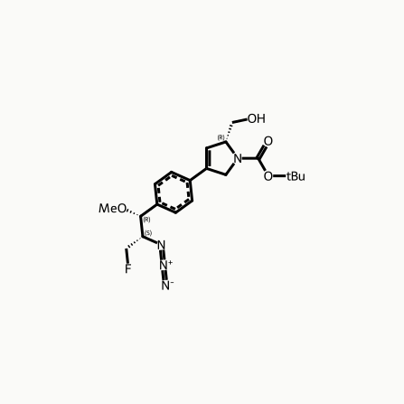 CO[C@H](c1ccc(C2=C[C@H](CO)N(C(=O)OC(C)(C)C)C2)cc1)[C@@H](CF)N=[N+]=[N-]